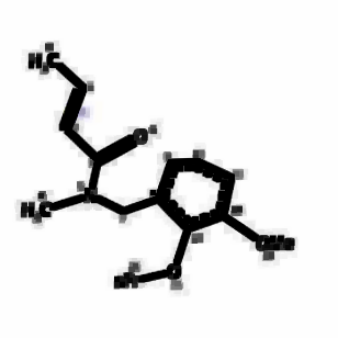 C/C=C/C(=O)N(C)Cc1cccc(OC)c1OCCC